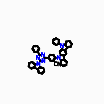 N#Cc1cc(-c2nc(-c3ccccc3)nc(-n3c4ccccc4c4ccccc43)n2)ccc1-n1c2ccccc2c2cc3c4ccccc4n(-c4ccccc4)c3cc21